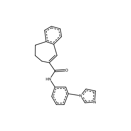 O=C(Nc1cccc(-n2ccnc2)c1)C1=Cc2ccccc2CCC1